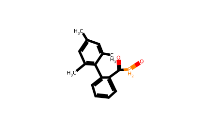 Cc1cc(C)c(-c2ccccc2C(=O)[PH2]=O)c(C)c1